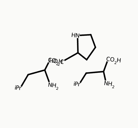 CC(C)CC(N)C(=O)O.CC(C)CC(N)C(=O)O.O=C(O)C1CCCN1